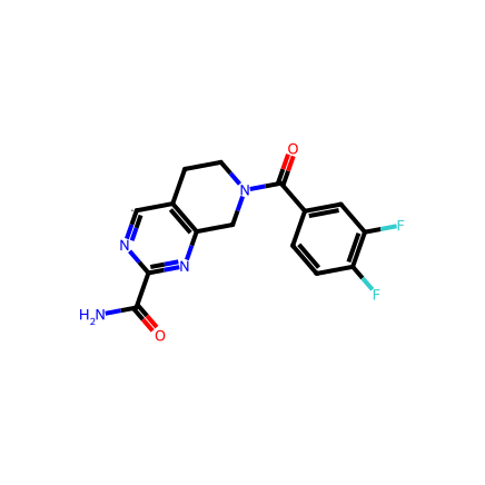 NC(=O)c1n[c]c2c(n1)CN(C(=O)c1ccc(F)c(F)c1)CC2